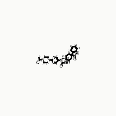 CC(=O)N1CCN(c2ncc(N3C[C@]4(CC[C@](c5ccccc5)(N(C)C)CC4)NC3=O)cn2)CC1